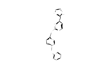 c1ccc(Oc2ccc(Nc3nccc(-c4nccs4)n3)cc2)cc1